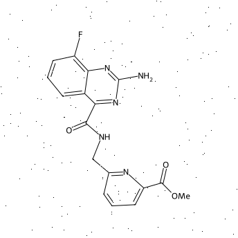 COC(=O)c1cccc(CNC(=O)c2nc(N)nc3c(F)cccc23)n1